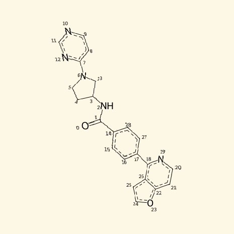 O=C(NC1CCN(c2ccncn2)C1)c1ccc(-c2nccc3occc23)cc1